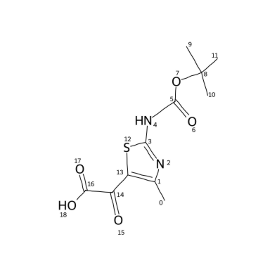 Cc1nc(NC(=O)OC(C)(C)C)sc1C(=O)C(=O)O